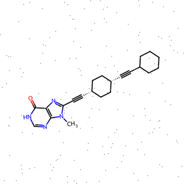 Cn1c(C#C[C@H]2CC[C@@H](C#CC3CCCCC3)CC2)nc2c(=O)[nH]cnc21